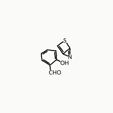 O=Cc1ccccc1O.c1sc2nc1-2